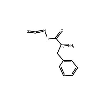 N[C@@H](Cc1ccccc1)C(=O)ON=C=S